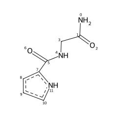 NC(=O)CNC(=O)c1ccc[nH]1